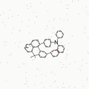 CC1(C)c2ccc(-c3ccccc3)cc2-c2c(-c3ccc(N(c4ccccc4)c4ccccc4)cc3)ccc3cccc1c23